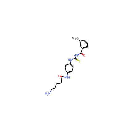 COc1cccc(C(=O)NC(=S)Nc2ccc(NC(=O)CCCCN)cc2)c1